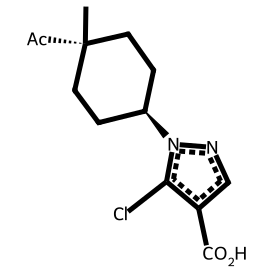 CC(=O)[C@]1(C)CC[C@@H](n2ncc(C(=O)O)c2Cl)CC1